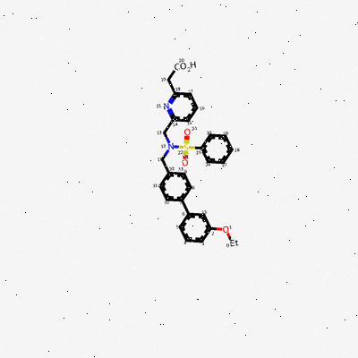 CCOc1cccc(-c2ccc(CN(Cc3cccc(CC(=O)O)n3)S(=O)(=O)c3ccccc3)cc2)c1